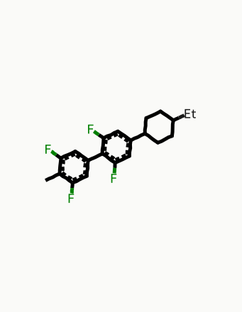 CCC1CCC(c2cc(F)c(-c3cc(F)c(C)c(F)c3)c(F)c2)CC1